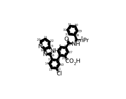 CCC[C@@H](NC(=O)c1ccc(-c2cc(Cl)ccc2-c2nc3ncccc3[nH]2)c(C(=O)O)c1)c1ccccc1